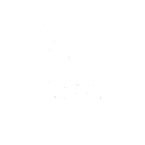 CC(C)CC(=O)Nc1cncc(-c2cnc3[nH]nc(-c4cc5c(-c6ccoc6)nccc5[nH]4)c3c2)c1